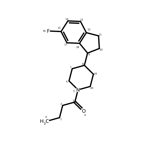 CCCC(=O)N1CCC(C2CCc3ccc(F)cc32)CC1